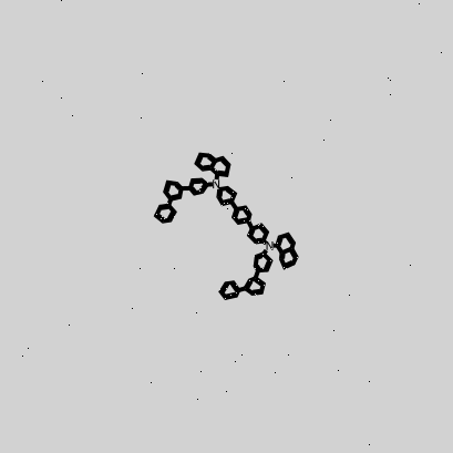 c1ccc(-c2cccc(-c3ccc(N(c4ccc(-c5ccc(-c6ccc(N(c7ccc(-c8cccc(-c9ccccc9)c8)cc7)c7cccc8ccccc78)cc6)cc5)cc4)c4cccc5ccccc45)cc3)c2)cc1